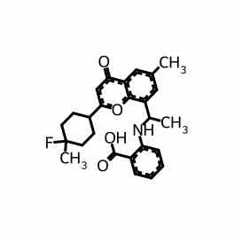 Cc1cc(C(C)Nc2ccccc2C(=O)O)c2oc(C3CCC(C)(F)CC3)cc(=O)c2c1